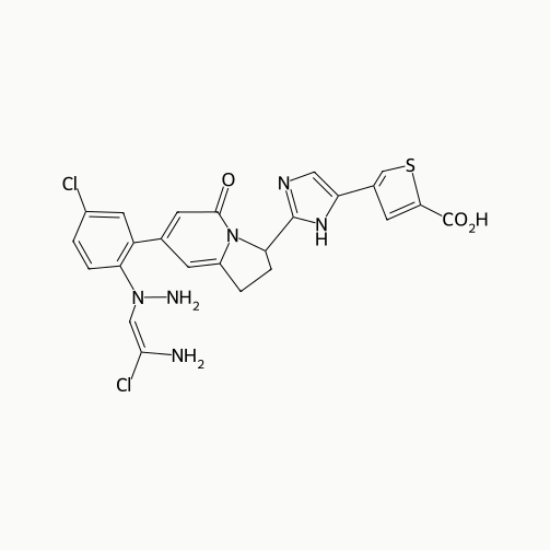 N/C(Cl)=C\N(N)c1ccc(Cl)cc1-c1cc2n(c(=O)c1)C(c1ncc(-c3csc(C(=O)O)c3)[nH]1)CC2